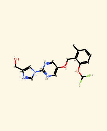 Cc1cccc(OC(F)F)c1COc1cnc(-n2cnc(CO)c2)nc1